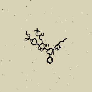 CCCCc1cn(-c2cc(C(=O)N[C@@H](CCC(=O)OC(C)(C)C)C(=O)N3CCN(C(=O)OCC)CC3)nc(-c3ccccc3)n2)nn1